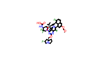 COCOc1cc(-c2ncc3c(N4CCC(NC(=O)O)C(F)(F)C4)nc(OC[C@@]45CCCN4C[C@H](F)C5)nc3c2F)c2c(C#C[Si](C(C)C)(C(C)C)C(C)C)c(F)ccc2c1